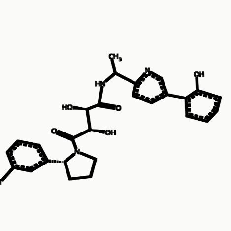 CC(NC(=O)[C@H](O)[C@@H](O)C(=O)N1CCC[C@@H]1c1cccc(Cl)c1)c1ccc(-c2ccccc2O)cn1